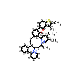 C=C1CC2C(CCc3ccc4c(oc5c4ccc4sc(C)c(C)c45)c3-c3cc(C)c(C)c[n+]31)c1ccccc1-c1cccc[n+]12